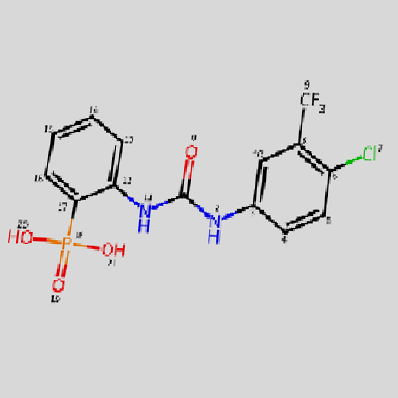 O=C(Nc1ccc(Cl)c(C(F)(F)F)c1)Nc1ccccc1P(=O)(O)O